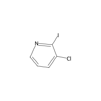 Clc1cccnc1I